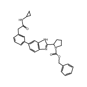 O=C(Cc1cccc(-c2ccc3nc(C4CCCN4C(=O)OCc4ccccc4)[nH]c3c2)c1)NC1CC1